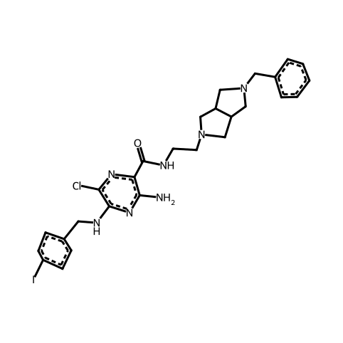 Nc1nc(NCc2ccc(I)cc2)c(Cl)nc1C(=O)NCCN1CC2CN(Cc3ccccc3)CC2C1